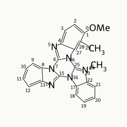 COc1ccc2nc3n4c5ccccc5nc4n4c5ccccc5[n+](C)c4n3c2c1C